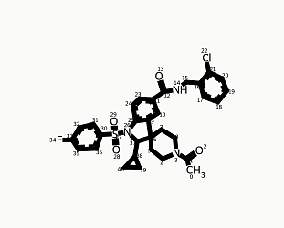 CC(=O)N1CCC2(CC1)c1cc(C(=O)NCc3ccccc3Cl)ccc1N(S(=O)(=O)c1ccc(F)cc1)C2C1CC1